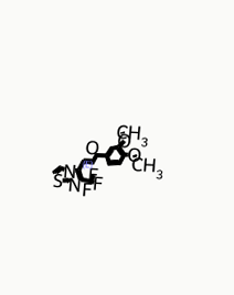 COc1ccc(C(=O)/C=C/c2c(C(F)(F)F)nc3sccn23)cc1OC